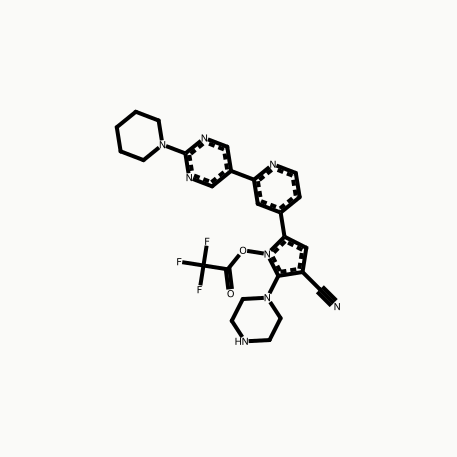 N#Cc1cc(-c2ccnc(-c3cnc(N4CCCCC4)nc3)c2)n(OC(=O)C(F)(F)F)c1N1CCNCC1